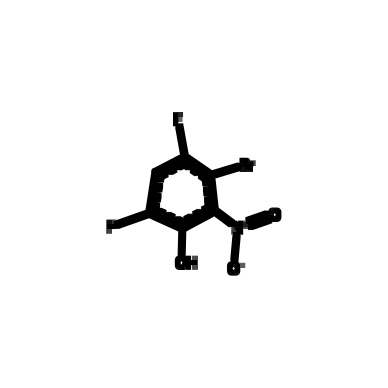 O=[N+]([O-])c1c(O)c(F)cc(F)c1Br